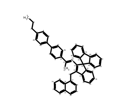 CCCc1ccc(-c2ccc(/C(C)=N/C3=C(Cc4cccc5ccccc45)c4ccccc4C34c3ccccc3-c3ccccc34)cc2)cc1